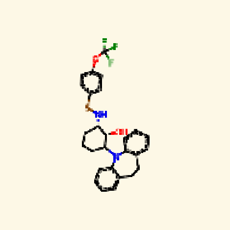 O[C@H]1C(N2c3ccccc3CCc3ccccc32)CCC[C@@H]1NSc1ccc(OC(F)(F)F)cc1